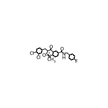 CN1c2ccc(C(=O)NCc3ccc(F)cc3)cc2C(=O)C(Cc2ccc(Cl)c(Cl)c2)[S+]1[O-]